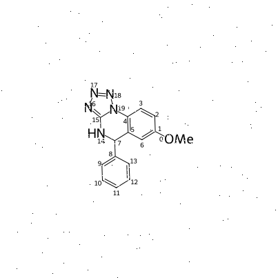 COc1ccc2c(c1)C(c1ccccc1)Nc1nnnn1-2